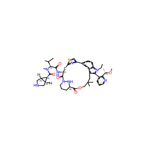 CCn1c(-c2cccnc2[C@H](C)OC)c2c3cc(ccc31)-c1csc(n1)C[C@H](NC(=O)[C@H](C(C)C)N(C)C(=O)[C@H]1[C@@H]3CNC[C@@H]31)C(=O)N1CCC[C@](C=O)(COCC(C)(C)C2)N1